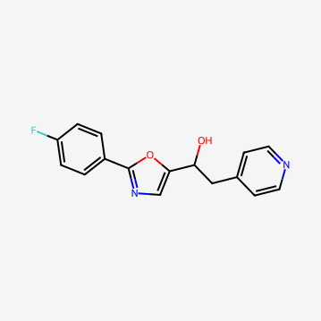 OC(Cc1ccncc1)c1cnc(-c2ccc(F)cc2)o1